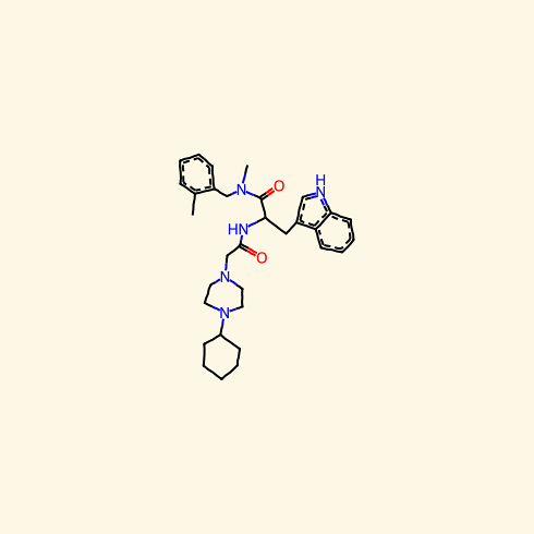 Cc1ccccc1CN(C)C(=O)C(Cc1c[nH]c2ccccc12)NC(=O)CN1CCN(C2CCCCC2)CC1